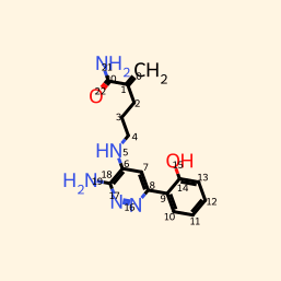 C=C(CCCNc1cc(-c2ccccc2O)nnc1N)C(N)=O